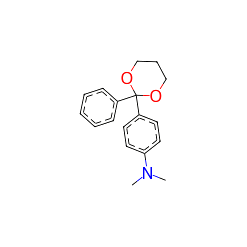 CN(C)c1ccc(C2(c3ccccc3)OCCCO2)cc1